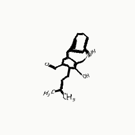 CC(C)=CCc1c(C=O)cc2c([nH]c3ccccc32)c1O